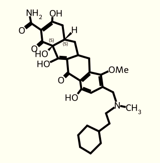 COc1c(CN(C)CCC2CCCCC2)cc(O)c2c1CC1C[C@H]3CC(O)=C(C(N)=O)C(=O)[C@@]3(O)C(O)=C1C2=O